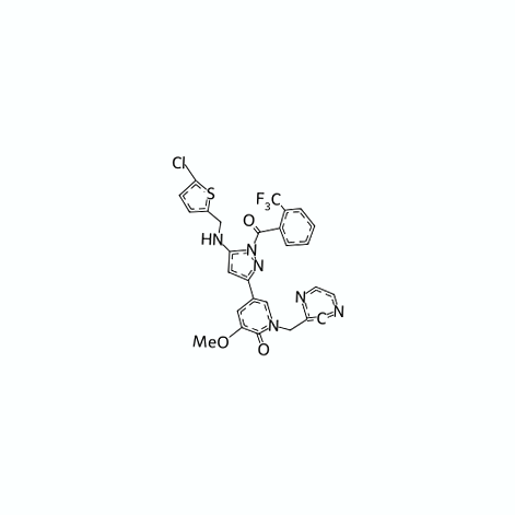 COc1cc(-c2cc(NCc3ccc(Cl)s3)n(C(=O)c3ccccc3C(F)(F)F)n2)cn(Cc2cnccn2)c1=O